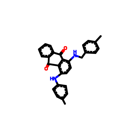 Cc1ccc(CNc2ccc(Nc3ccc(C)cc3)c3c2C(=O)c2ccccc2C3=O)cc1